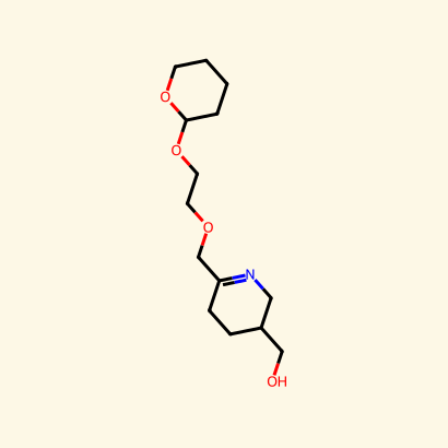 OCC1CCC(COCCOC2CCCCO2)=NC1